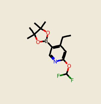 CCc1cc(OC(F)F)ncc1B1OC(C)(C)C(C)(C)O1